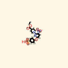 CCOC(=O)C1CCN(c2nc(Oc3ccc(S(=O)(=O)O)cc3)ccc2[N+](=O)[O-])CC1